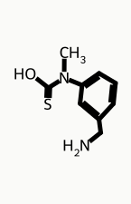 CN(C(O)=S)c1cccc(CN)c1